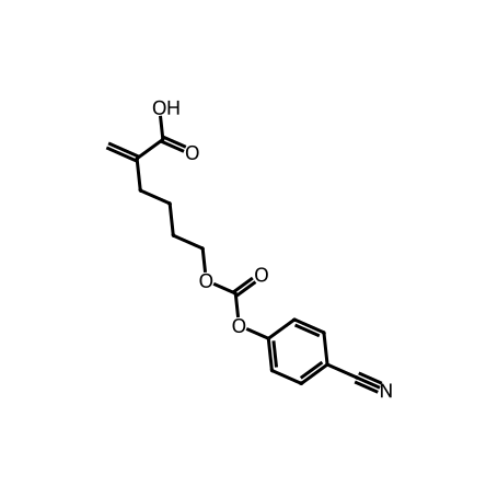 C=C(CCCCOC(=O)Oc1ccc(C#N)cc1)C(=O)O